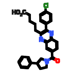 O=C(O)CCCCc1nc2cc(C(=O)N3CCC(c4ccccc4)C3)ccc2nc1-c1ccc(Cl)cc1